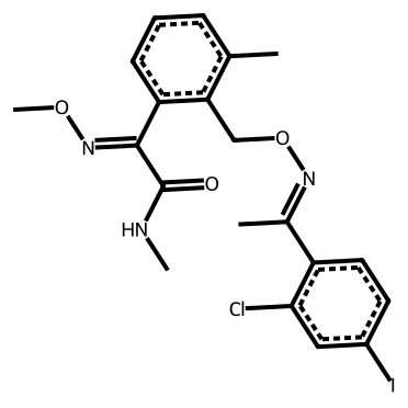 CNC(=O)/C(=N/OC)c1cccc(C)c1CO/N=C(\C)c1ccc(I)cc1Cl